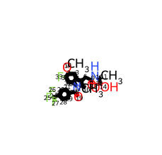 COc1cc2c(CC(=O)NC(C)C(=O)O)c(C)n(C(=O)c3ccc(C(F)(F)F)cc3)c2cc1F